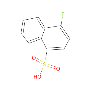 O=S(=O)(O)c1ccc(F)c2ccccc12